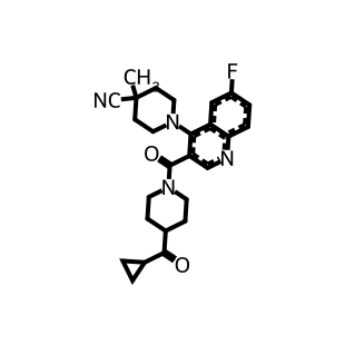 CC1(C#N)CCN(c2c(C(=O)N3CCC(C(=O)C4CC4)CC3)cnc3ccc(F)cc23)CC1